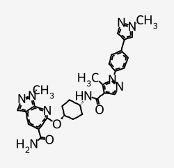 Cc1c(C(=O)N[C@H]2CC[C@H](Oc3nc4c(cnn4C)cc3C(N)=O)CC2)cnn1-c1ccc(-c2cnn(C)c2)cc1